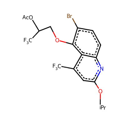 CC(=O)OC(COc1c(Br)ccc2nc(OC(C)C)cc(C(F)(F)F)c12)C(F)(F)F